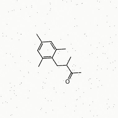 CC(=O)C(C)Cc1c(C)cc(C)cc1C